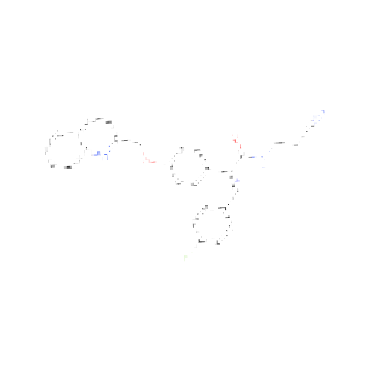 N#CCCNC(=O)/C(=C/c1ccc(F)cc1)c1ccc(OCc2ccc3ccccc3n2)cc1